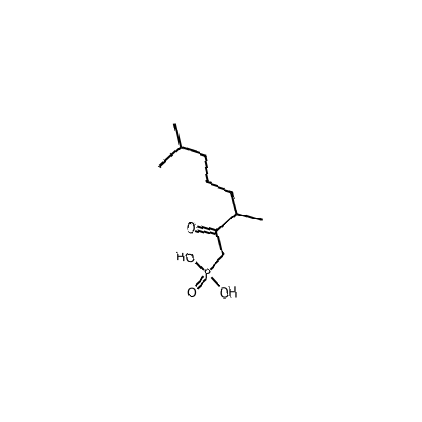 CC(C)CCCC(C)C(=O)CP(=O)(O)O